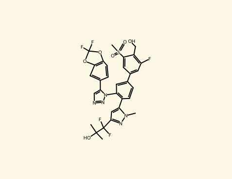 Cn1nc(C(F)(F)C(C)(C)O)cc1-c1ccc(-c2cc(F)c(CO)c(S(C)(=O)=O)c2)cc1-n1nncc1-c1ccc2c(c1)OC(F)(F)O2